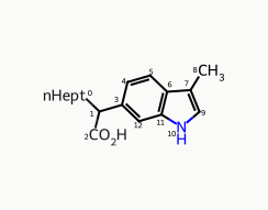 CCCCCCCC(C(=O)O)c1ccc2c(C)c[nH]c2c1